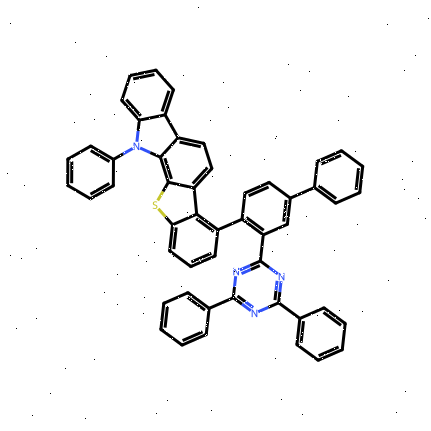 c1ccc(-c2ccc(-c3cccc4sc5c(ccc6c7ccccc7n(-c7ccccc7)c65)c34)c(-c3nc(-c4ccccc4)nc(-c4ccccc4)n3)c2)cc1